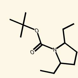 CCC1CCC(CC)N1C(=O)OC(C)(C)C